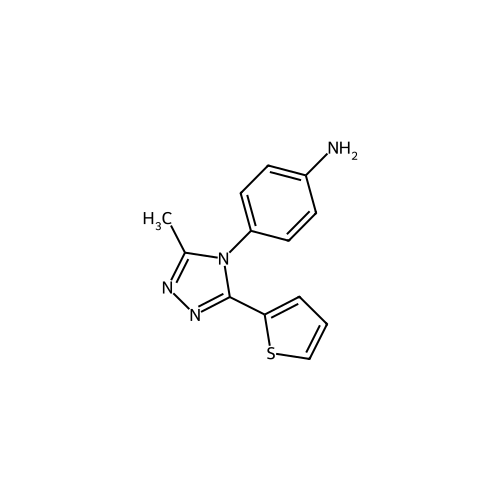 Cc1nnc(-c2cccs2)n1-c1ccc(N)cc1